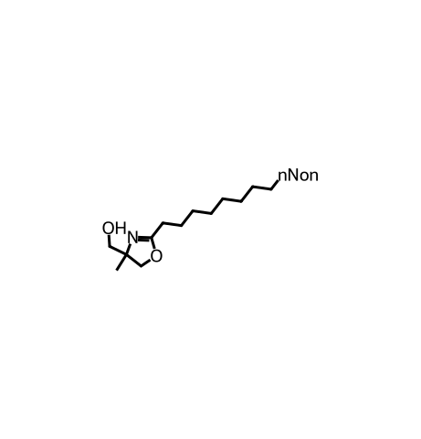 CCCCCCCCCCCCCCCCCC1=NC(C)(CO)CO1